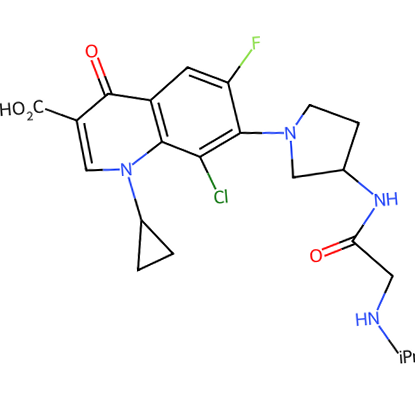 CC(C)NCC(=O)NC1CCN(c2c(F)cc3c(=O)c(C(=O)O)cn(C4CC4)c3c2Cl)C1